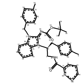 Cc1ccc(C[C@@H](CNC(=O)c2cccnn2)n2c(=NC(=O)OC(C)(C)C)n(Cc3ccc(C)cc3)c3ccccc32)cc1